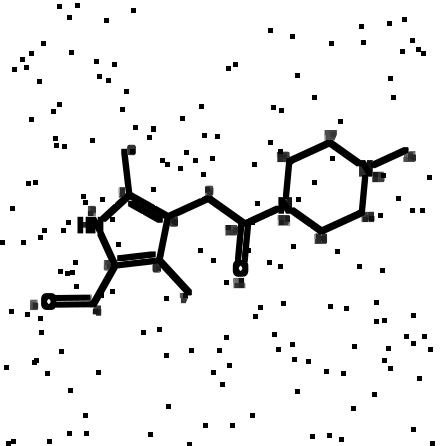 Cc1[nH]c(C=O)c(C)c1CC(=O)N1CCN(C)CC1